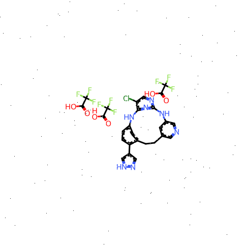 Clc1cnc2nc1Nc1ccc(-c3cn[nH]c3)c(c1)CCc1cncc(c1)N2.O=C(O)C(F)(F)F.O=C(O)C(F)(F)F.O=C(O)C(F)(F)F